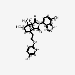 C[C@@]12OC(CCOc3ccc(Cl)cn3)(C[C@@H]1O)C1C(=O)N(c3ccc(C#N)c4nsnc34)C(=O)[C@H]12